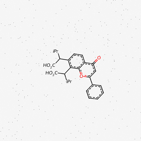 CC(C)C(C(=O)O)c1ccc2c(=O)cc(-c3ccccc3)oc2c1C(C(=O)O)C(C)C